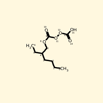 CCCCC(CC)COC(=O)OOC(=O)O